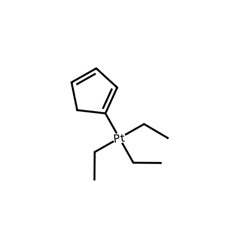 C[CH2][Pt]([CH2]C)([CH2]C)[C]1=CC=CC1